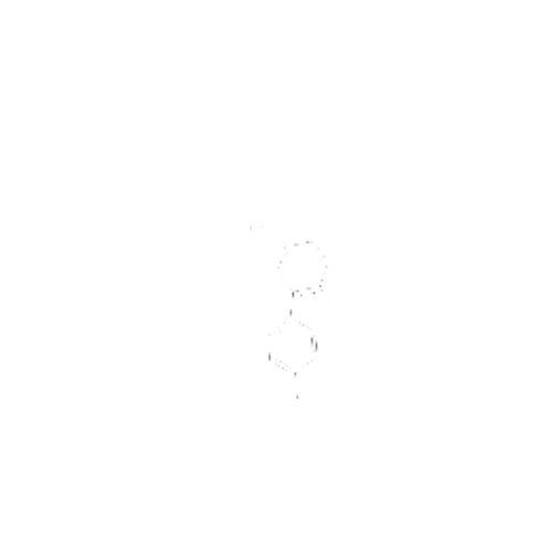 Cc1ccc2c(c1)sc1ccc(C(C)(C)C)cc12